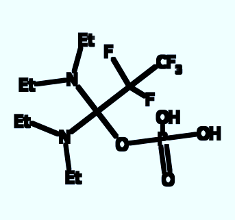 CCN(CC)C(OP(=O)(O)O)(N(CC)CC)C(F)(F)C(F)(F)F